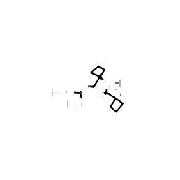 CC(C)OCC1(NC(=O)C2(N)CCC2)CCC1